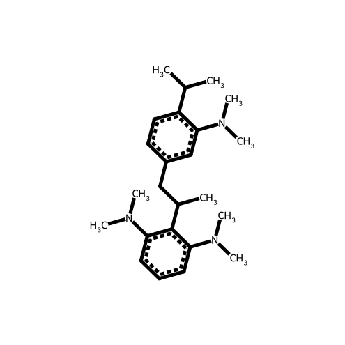 CC(C)c1ccc(CC(C)c2c(N(C)C)cccc2N(C)C)cc1N(C)C